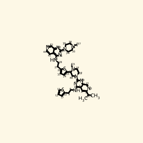 CC(C)c1cc2c(NCCc3cccs3)nc(N3CCN(I)C(c4ccc(CCNc5nc(N6CCN(I)CC6)nc6cnccc56)s4)C3)nc2cn1